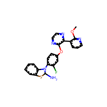 COc1ncccc1-c1nccnc1Oc1ccc(N2c3ccccc3SC2N)c(F)c1